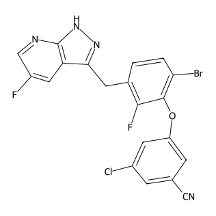 N#Cc1cc(Cl)cc(Oc2c(Br)ccc(Cc3n[nH]c4ncc(F)cc34)c2F)c1